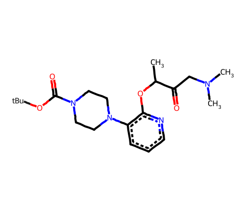 CC(Oc1ncccc1N1CCN(C(=O)OC(C)(C)C)CC1)C(=O)CN(C)C